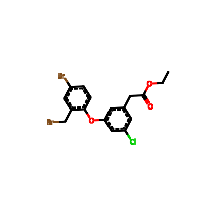 CCOC(=O)Cc1cc(Cl)cc(Oc2ccc(Br)cc2CBr)c1